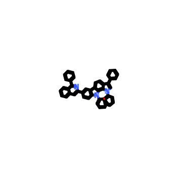 c1ccc(-c2nc(-c3ccc4c(c3)c3ccc5c(-c6ccccc6)cn(-c6ccccc6)c5c3n4-c3ccccc3)cc3ccccc23)cc1